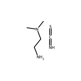 CN(C)CCN.N=C=S